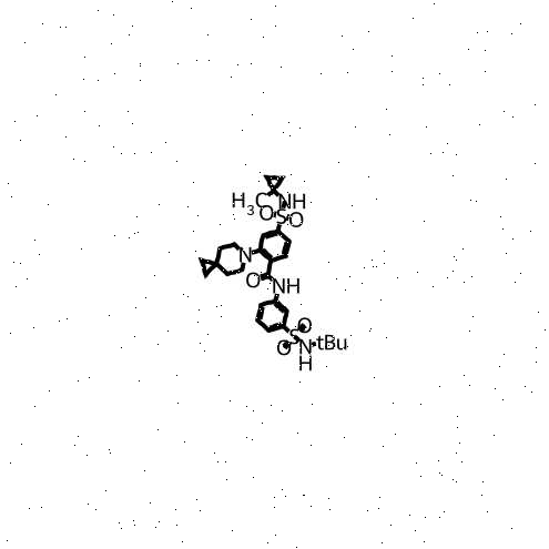 CC(C)(C)NS(=O)(=O)c1cccc(NC(=O)c2ccc(S(=O)(=O)NC3(C)CC3)cc2N2CCC3(CC2)CC3)c1